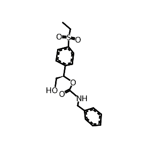 CCS(=O)(=O)c1ccc([C@H](CO)OC(=O)NCc2ccccc2)cc1